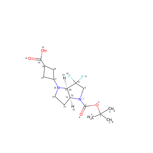 CC(C)(C)OC(=O)N1CC(F)(F)[C@H]2[C@@H]1CCN2C1CC(C(=O)O)C1